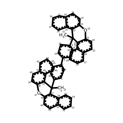 CC1(c2ccc(-c3ccc(C4(C)c5c(ccc6ccccc56)Oc5ccc6ccccc6c54)cc3)cc2)c2c(ccc3ccccc23)Oc2ccc3ccccc3c21